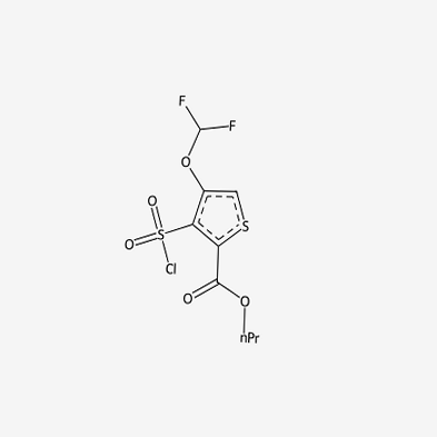 CCCOC(=O)c1scc(OC(F)F)c1S(=O)(=O)Cl